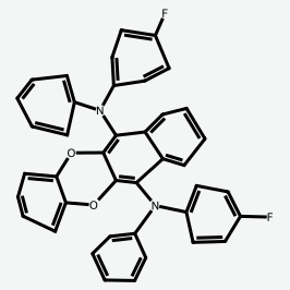 Fc1ccc(N(c2ccccc2)c2c3c(c(N(c4ccccc4)c4ccc(F)cc4)c4ccccc24)Oc2ccccc2O3)cc1